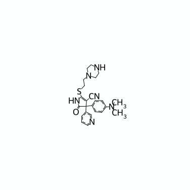 CN(C)c1ccc(C2(c3cccnc3)C(=O)NC(SCCN3CCNCC3)=C2C#N)cc1